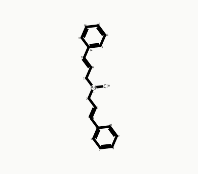 [Cl][Pd]([CH2]/C=C/c1ccccc1)[CH2]/C=C/c1ccccc1